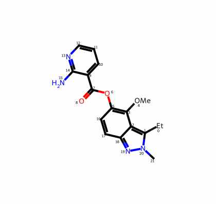 CCc1c2c(OC)c(OC(=O)c3cccnc3N)ccc2nn1C